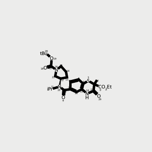 CCOC(=O)C1(C)Sc2ccc(C(=O)N(C(C)C)[C@@H]3CCCN(C(=O)OC(C)(C)C)C3)cc2NC1=O